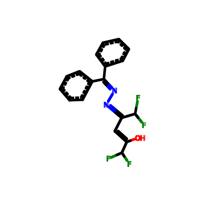 OC(=CC(=NN=C(c1ccccc1)c1ccccc1)C(F)F)C(F)F